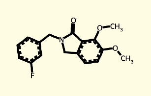 COc1ccc2c(c1OC)C(=O)N(Cc1cccc(F)c1)C2